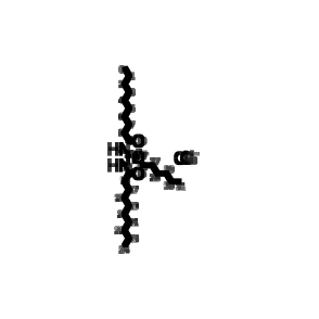 CCCCCCCCCC(=O)[NH][Ti+2]([NH]C(=O)CCCCCCCCC)[O]CCCCCC.[Cl-].[Cl-]